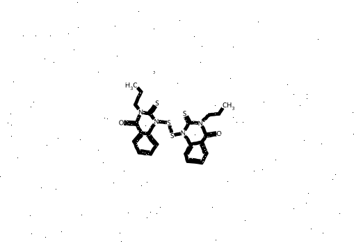 CCCn1c(=O)c2ccccc2n(SSn2c(=S)n(CCC)c(=O)c3ccccc32)c1=S